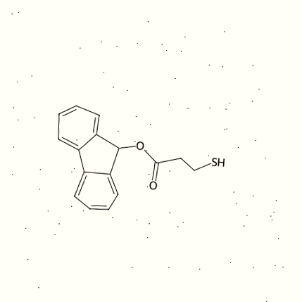 O=C(CCS)OC1c2ccccc2-c2ccccc21